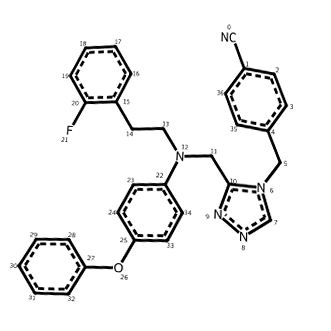 N#Cc1ccc(Cn2cnnc2CN(CCc2ccccc2F)c2ccc(Oc3ccccc3)cc2)cc1